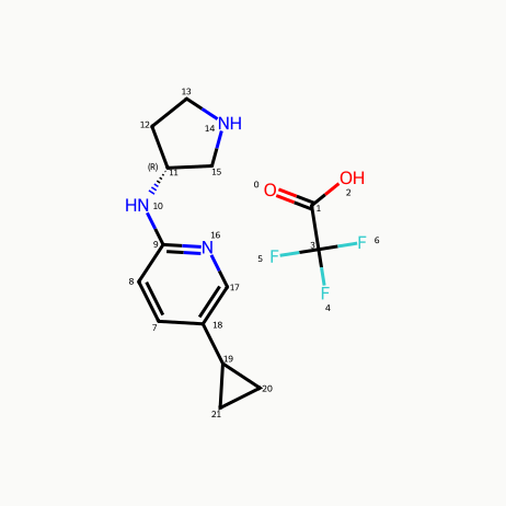 O=C(O)C(F)(F)F.c1cc(N[C@@H]2CCNC2)ncc1C1CC1